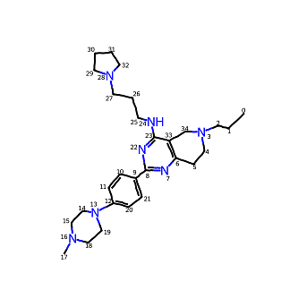 CCCN1CCc2nc(-c3ccc(N4CCN(C)CC4)cc3)nc(NCCCN3CCCC3)c2C1